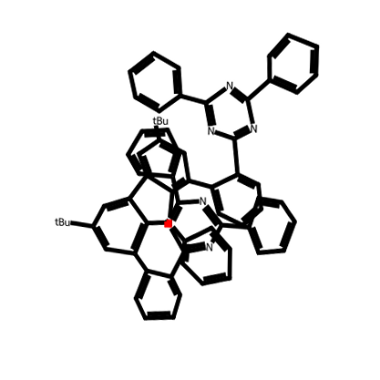 CC(C)(C)c1cc(-c2ccccc2-c2nc(-c3ccccc3)nc(-c3ccccc3)n2)c2c(c1)c1cc(C(C)(C)C)cc(-c3ccccc3-c3nc(-c4ccccc4)nc(-c4ccccc4)n3)c1n2-c1ccccc1